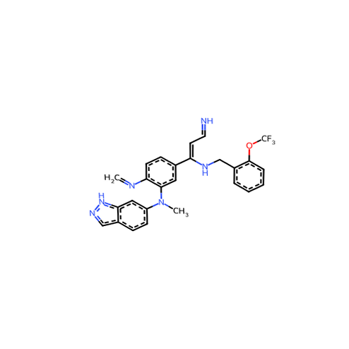 C=Nc1ccc(/C(=C/C=N)NCc2ccccc2OC(F)(F)F)cc1N(C)c1ccc2cn[nH]c2c1